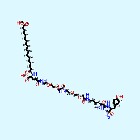 NC(=O)[C@H](Cc1ccc(O)cc1)NCC(=O)[C@H](CCCCNC(=O)COCCOCCNC(=O)COCCOCCNC(=O)CCC(NC(=O)CCCCCCCCCCCCCCCCC(=O)O)C(=O)O)NI